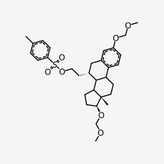 COCOc1ccc2c(c1)C[C@@H](CCOS(=O)(=O)c1ccc(C)cc1)C1C2CC[C@@]2(C)C1CC[C@@H]2OCOC